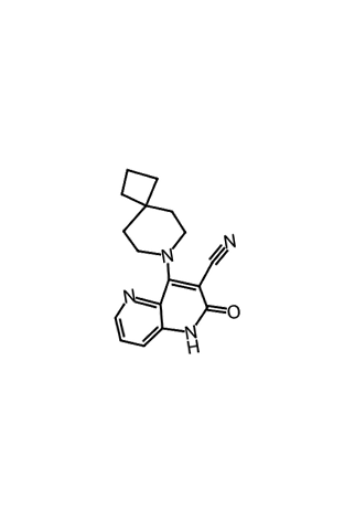 N#Cc1c(N2CCC3(CCC3)CC2)c2ncccc2[nH]c1=O